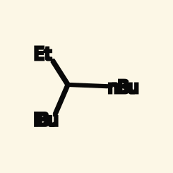 CCCCC(CC)C(C)CC